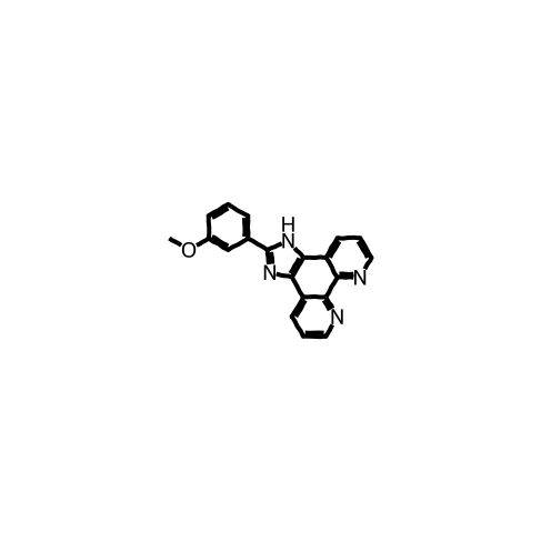 COc1cccc(-c2nc3c4cccnc4c4ncccc4c3[nH]2)c1